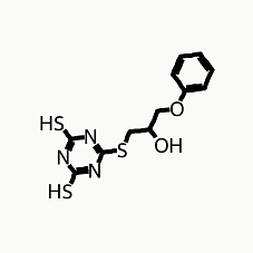 OC(COc1ccccc1)CSc1nc(S)nc(S)n1